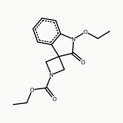 CCOC(=O)N1CC2(C1)C(=O)N(OCC)c1ccccc12